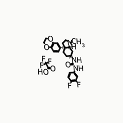 CN1CC[C@]2(c3ccc4c(c3)OCCO4)CC[C@@H](NC(=O)Nc3ccc(F)c(F)c3)C[C@H]12.O=C(O)C(F)(F)F